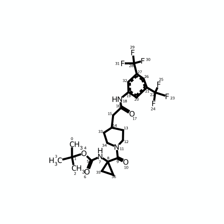 CC(C)(C)OC(=O)NC1(C(=O)N2CCC(CC(=O)Nc3cc(C(F)(F)F)cc(C(F)(F)F)c3)CC2)CC1